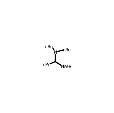 CCCCN(CCCC)C(CCC)NC